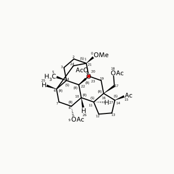 CO[C@@]12CC[C@@]3(C)[C@H](C[C@@H](OC(C)=O)[C@H]4[C@@H]5CC[C@H](C(C)=O)[C@@]5(COC(C)=O)C[C@@H](OC(C)=O)[C@@]43O1)C2